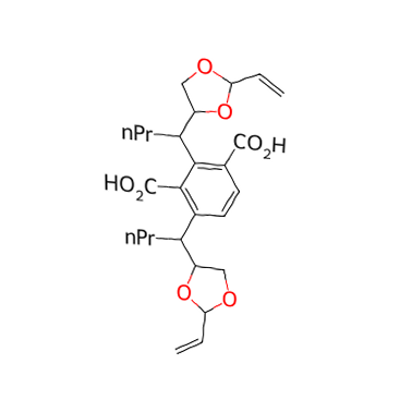 C=CC1OCC(C(CCC)c2ccc(C(=O)O)c(C(CCC)C3COC(C=C)O3)c2C(=O)O)O1